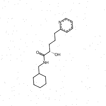 O=C(NCC1CCCCC1)[C@@H](O)CCCc1ccccn1